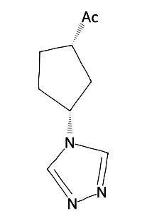 CC(=O)[C@H]1CC[C@@H](n2cnnc2)C1